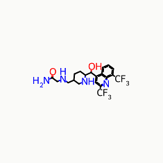 NC(=O)CNCC1CCC(C(O)c2cc(C(F)(F)F)nc3c(C(F)(F)F)cccc23)NC1